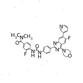 CN(C)C(=O)c1ccc(NC(=O)Nc2ccc(-c3nc(N4CCOCC4)c4cc(F)c(-c5cccnc5)cc4n3)cc2)c(F)c1